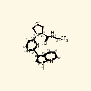 O=C(NCC(F)(F)F)[C@@H]1CSCN1c1ccnc(-c2c[nH]c3ncccc23)n1